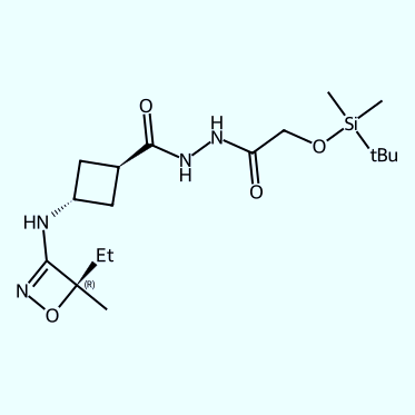 CC[C@@]1(C)ON=C1N[C@H]1C[C@H](C(=O)NNC(=O)CO[Si](C)(C)C(C)(C)C)C1